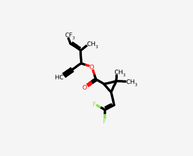 C#CC(OC(=O)C1C(C=C(F)F)C1(C)C)/C(C)=C/C(F)(F)F